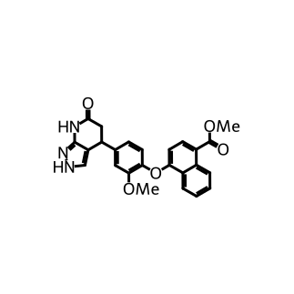 COC(=O)c1ccc(Oc2ccc(C3CC(=O)Nc4n[nH]cc43)cc2OC)c2ccccc12